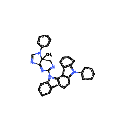 CC12CN=C(n3c4ccccc4c4ccc5c(c6ccccc6n5-c5ccccc5)c43)N=C1N=CN2c1ccccc1